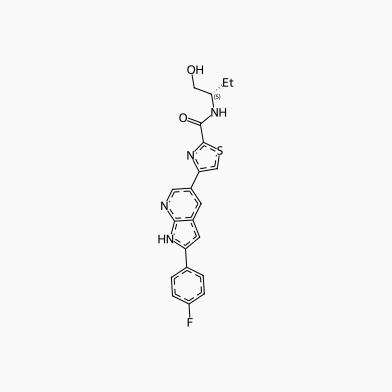 CC[C@@H](CO)NC(=O)c1nc(-c2cnc3[nH]c(-c4ccc(F)cc4)cc3c2)cs1